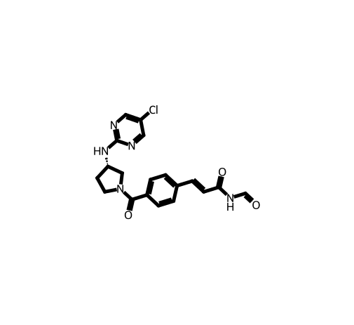 O=CNC(=O)C=Cc1ccc(C(=O)N2CC[C@H](Nc3ncc(Cl)cn3)C2)cc1